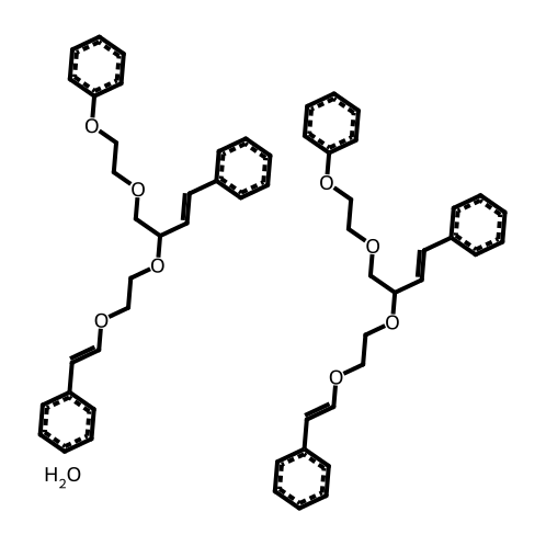 C(=Cc1ccccc1)OCCOC(C=Cc1ccccc1)COCCOc1ccccc1.C(=Cc1ccccc1)OCCOC(C=Cc1ccccc1)COCCOc1ccccc1.O